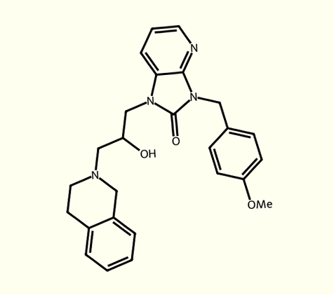 COc1ccc(Cn2c(=O)n(CC(O)CN3CCc4ccccc4C3)c3cccnc32)cc1